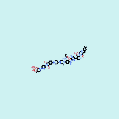 C=CC(=O)Nc1cc(Nc2nc(-c3ccnc(N4CCn5c(cc6c5CC(C)(C)C6)C4=O)c3CO)cn(C)c2=O)ccc1N1CCN(C2CCN(c3ccc4c(c3)C(=O)N(c3ccc(N5CCC(C)(OP(=O)(O)O)CC5)nc3)C4=O)CC2)C[C@@H]1C